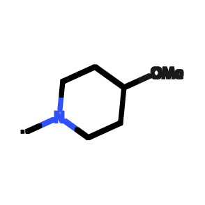 [CH2]N1CCC(OC)CC1